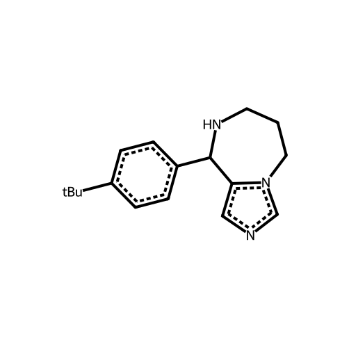 CC(C)(C)c1ccc(C2NCCCn3cncc32)cc1